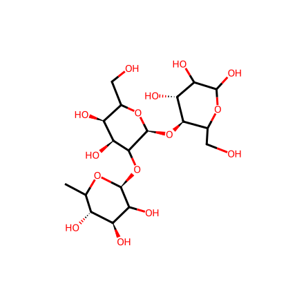 CC1O[C@@H](OC2[C@H](O[C@@H]3C(CO)OC(O)C(O)[C@H]3O)OC(CO)[C@H](O)[C@@H]2O)C(O)[C@@H](O)[C@@H]1O